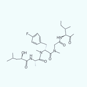 CCC(C)[C@H](NC(=O)CN(C)C(=O)[C@@H](Cc1ccc(F)cc1)N(C)C(=O)[C@H](C)NC(=O)[C@H](O)CC(C)C)C(C)=O